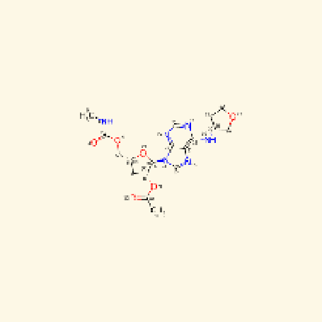 CNC(=O)OC[C@H]1[CH][C@@H](OC(C)=O)[C@H](n2cnc3c(N[C@@H]4CCOC4)ncnc32)O1